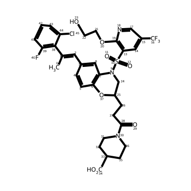 CC(=Cc1ccc2c(c1)N(S(=O)(=O)c1cc(C(F)(F)F)cnc1OCCO)CC(CCC(=O)N1CCC(C(=O)O)CC1)O2)c1c(F)cccc1Cl